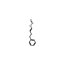 O=NOC=CCCc1ccccc1